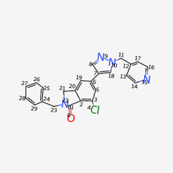 O=C1c2c(Cl)cc(-c3cnn(Cc4ccncc4)c3)cc2CN1Cc1ccccc1